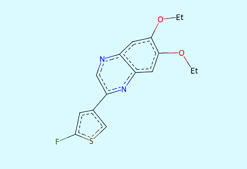 CCOc1cc2ncc(-c3csc(F)c3)nc2cc1OCC